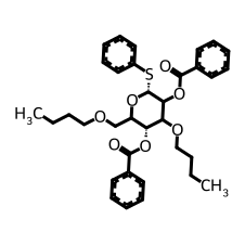 CCCCOCC1O[C@H](Sc2ccccc2)C(OC(=O)c2ccccc2)C(OCCCC)[C@@H]1OC(=O)c1ccccc1